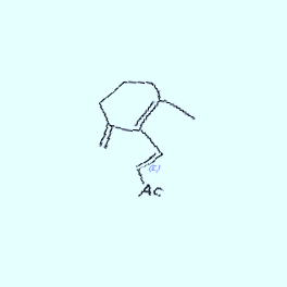 C=C1CCCC(C)=C1/C=C/C(C)=O